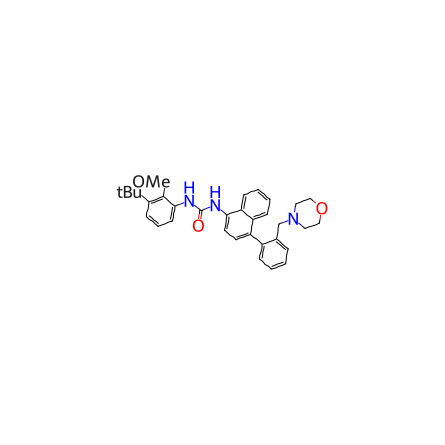 COc1c(NC(=O)Nc2ccc(-c3ccccc3CN3CCOCC3)c3ccccc23)cccc1C(C)(C)C